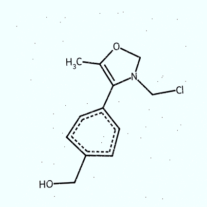 CC1=C(c2ccc(CO)cc2)N(CCl)CO1